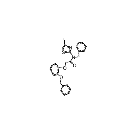 Cc1csc(N(Cc2ccccc2)C(=O)COc2ccccc2OCc2ccccc2)n1